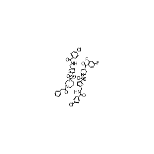 O=C(NCc1ccc(S(=O)(=O)N2CCC(C(=O)c3ccc(F)cc3F)CC2)s1)c1ccc(Cl)cc1.O=C(NCc1ccc(S(=O)(=O)N2CCCN(C(=O)Cc3ccccc3)CC2)s1)c1ccc(Cl)cc1